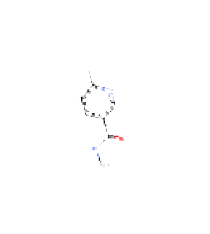 CCCNC(=O)c1ccc(Cl)nc1